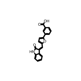 O=C1Nc2ccccc2C1=Cc1ccc(-c2cccc(C(=O)O)c2)o1